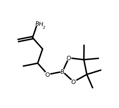 BC(=C)CC(C)OB1OC(C)(C)C(C)(C)O1